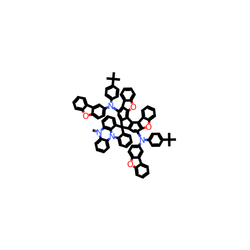 CN1c2ccccc2N2c3ccccc3C3(c4cccc1c42)c1cc(N(c2ccc(C(C)(C)C)cc2)c2ccc4oc5ccccc5c4c2)c2c(oc4ccccc42)c1-c1c3cc(N(c2ccc(C(C)(C)C)cc2)c2ccc3oc4ccccc4c3c2)c2oc3ccccc3c12